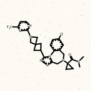 CN(C)C(=O)C1(N2Cc3cc(Cl)ccc3-n3c(nnc3C3CC4(C3)CN(c3nccc(C(F)(F)F)n3)C4)C2)CC1